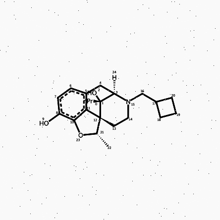 CCC[C@@]1(O)[C@H]2Cc3ccc(O)c4c3[C@@]1(CCN2CC1CCC1)[C@H](C)O4